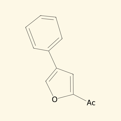 CC(=O)c1cc(-c2ccccc2)co1